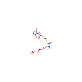 COCCOCCOCCN(C)CC(C)(C)SSCCCC(=O)ON1C(=O)CCC1=O